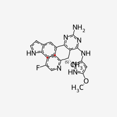 COc1cc(Nc2nc(N)nc(-c3ccc4[nH]ccc4c3)c2[C@H](C)c2ccc(F)cn2)n[nH]1